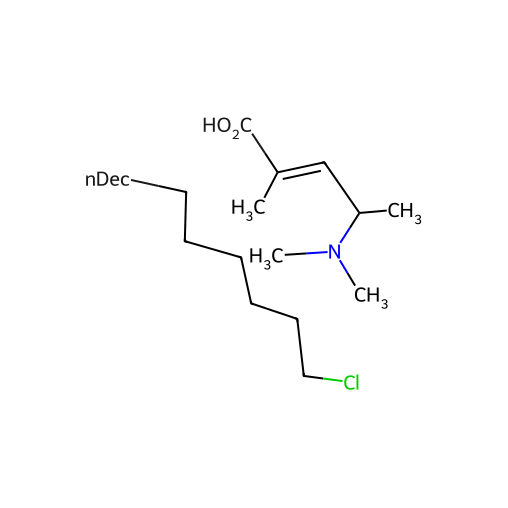 CC(=CC(C)N(C)C)C(=O)O.CCCCCCCCCCCCCCCCCl